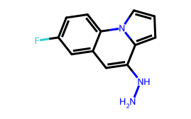 NNc1cc2cc(F)ccc2n2cccc12